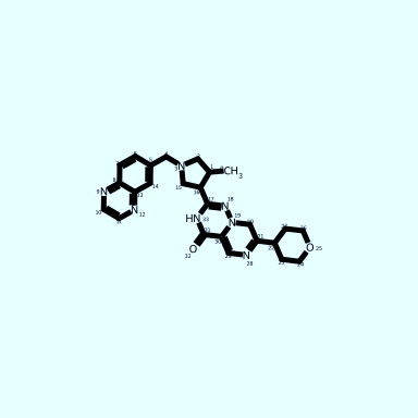 CC1CN(Cc2ccc3nccnc3c2)CC1C1=NN2CC(C3CCOCC3)=NC=C2C(=O)N1